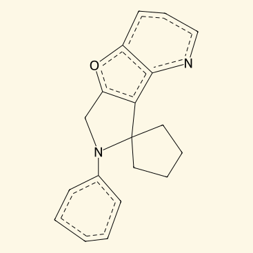 c1ccc(N2Cc3oc4cccnc4c3C23CCCC3)cc1